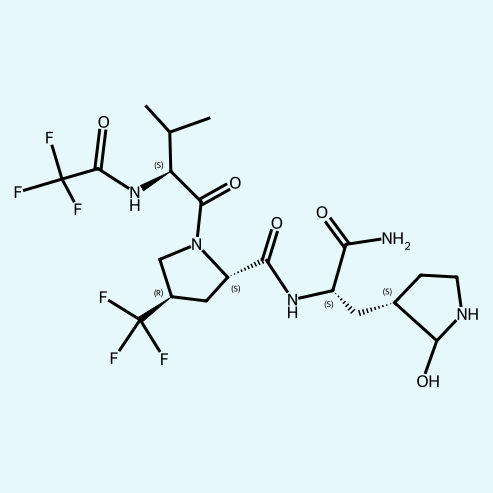 CC(C)[C@H](NC(=O)C(F)(F)F)C(=O)N1C[C@H](C(F)(F)F)C[C@H]1C(=O)N[C@@H](C[C@@H]1CCNC1O)C(N)=O